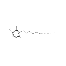 CCCCCCCCCCCCCCCCCCc1c(S(=O)(=O)O)ccc(C)c1C